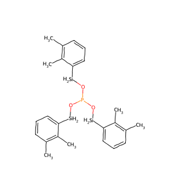 Cc1cccc([SiH2]OP(O[SiH2]c2cccc(C)c2C)O[SiH2]c2cccc(C)c2C)c1C